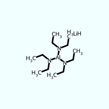 CC[N](CC)[Al]([N](CC)CC)[N](CC)CC.[LiH]